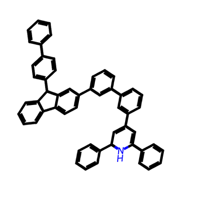 C1=C(c2cccc(-c3cccc(-c4ccc5c(c4)C(c4ccc(-c6ccccc6)cc4)c4ccccc4-5)c3)c2)C=C(c2ccccc2)NC1c1ccccc1